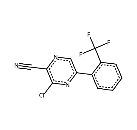 N#Cc1ncc(-c2ccccc2C(F)(F)F)nc1Cl